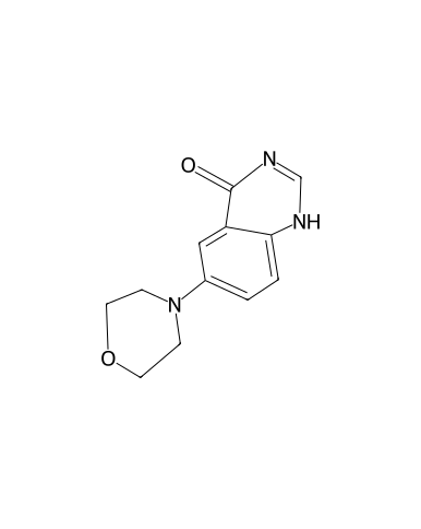 O=c1nc[nH]c2ccc(N3CCOCC3)cc12